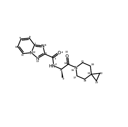 C[C@@H](NC(=O)c1nc2ccccn2n1)C(=O)N1CCC2(CC1)CC2